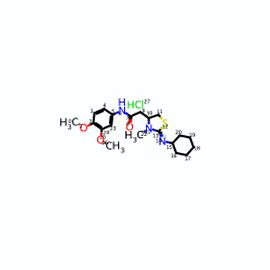 COc1ccc(NC(=O)CC2CS/C(=N\C3CCCCC3)N2C)cc1OC.Cl